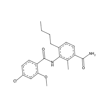 CCCCc1ccc(C(N)=O)c(C)c1NC(=O)c1ccc(Cl)cc1OC